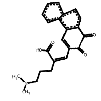 CN(C)CCCC(=CC1=Cc2c(ccc3ccccc23)C(=O)C1=O)C(=O)O